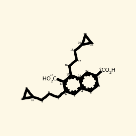 O=C(O)c1ccc2cc(CCCC3CC3)c(C(=O)O)c(CCCC3CC3)c2c1